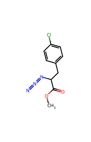 COC(=O)C(Cc1ccc(Cl)cc1)N=[N+]=[N-]